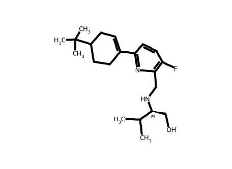 CC(C)[C@H](CO)NCc1nc(C2=CCC(C(C)(C)C)CC2)ccc1F